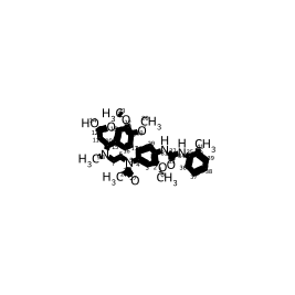 COc1cc(N(CCN(C)C(CC(=O)O)c2ccc(OC)c(OC)c2)C(C)=O)ccc1NC(=O)Nc1ccccc1C